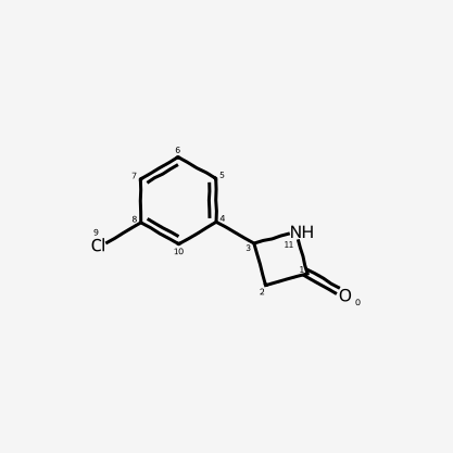 O=C1CC(c2cccc(Cl)c2)N1